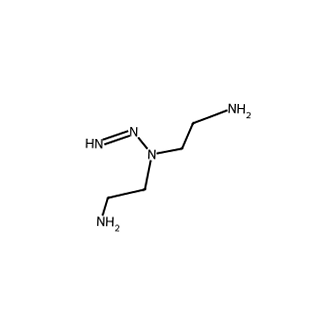 N=NN(CCN)CCN